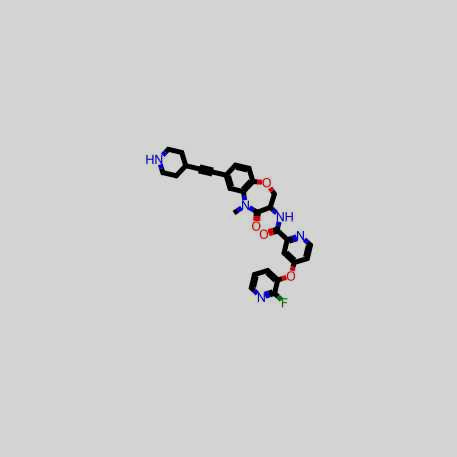 CN1C(=O)C(NC(=O)c2cc(Oc3cccnc3F)ccn2)COc2ccc(C#CC3CCNCC3)cc21